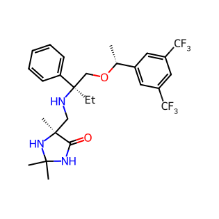 CC[C@](CO[C@H](C)c1cc(C(F)(F)F)cc(C(F)(F)F)c1)(NC[C@]1(C)NC(C)(C)NC1=O)c1ccccc1